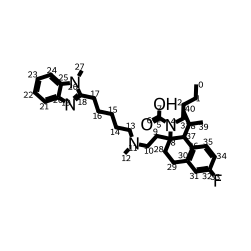 CCCCN(C(=O)O)C1(CCN(C)CCCCCc2nc3ccccc3n2C)CCc2cc(F)ccc2C1C(C)C